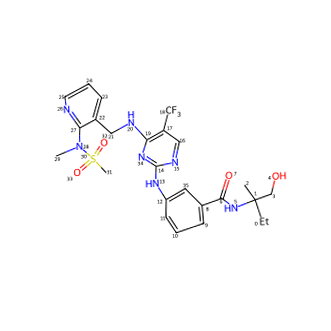 CCC(C)(CO)NC(=O)c1cccc(Nc2ncc(C(F)(F)F)c(NCc3cccnc3N(C)S(C)(=O)=O)n2)c1